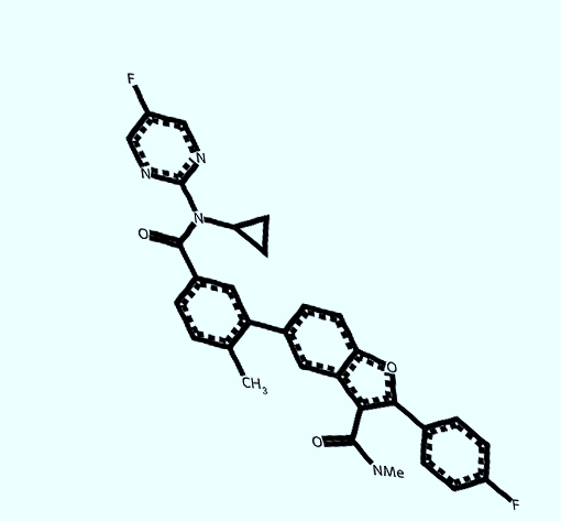 CNC(=O)c1c(-c2ccc(F)cc2)oc2ccc(-c3cc(C(=O)N(c4ncc(F)cn4)C4CC4)ccc3C)cc12